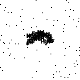 CCc1nc2sc(N3CCC4(CCN(C(N)=O)C4)C3)nn2c1N(C)c1nc(-c2ccc(F)cc2)c(C#N)s1